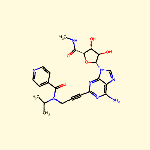 CNC(=O)[C@H]1O[C@@H](n2cnc3c(N)nc(C#CCN(C(=O)c4ccncc4)C(C)C)nc32)C(O)[C@@H]1O